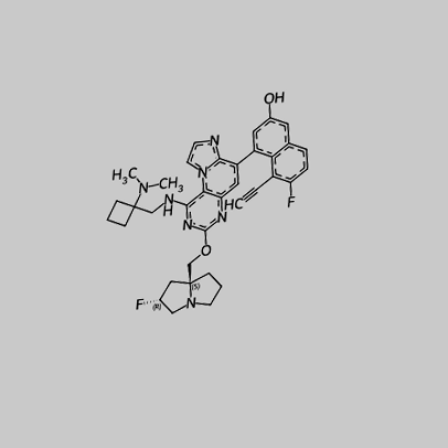 C#Cc1c(F)ccc2cc(O)cc(-c3cc4nc(OC[C@@]56CCCN5C[C@H](F)C6)nc(NCC5(N(C)C)CCC5)c4n4ccnc34)c12